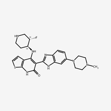 CN1CCN(c2ccc3nc(-c4c(N[C@H]5CCNC[C@@H]5F)c5ccsc5[nH]c4=O)[nH]c3c2)CC1